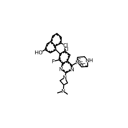 CN(C)C1CN(c2nc(N3CC4CCCC3CN4)c3cc(Cl)c(-c4cc(O)cc5cccc(Cl)c45)c(F)c3n2)C1